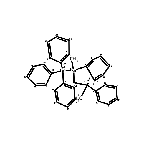 CC(C)([CH2][Sn]([CH3])([c]1ccccc1)[Ge]([c]1ccccc1)([c]1ccccc1)[c]1ccccc1)c1ccccc1